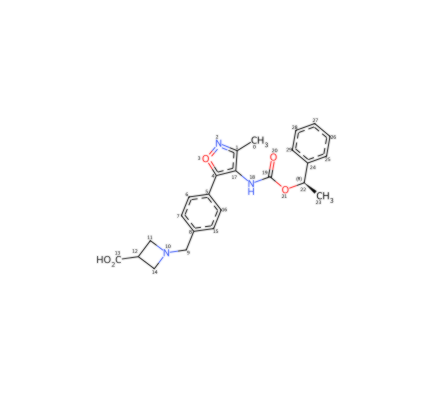 Cc1noc(-c2ccc(CN3CC(C(=O)O)C3)cc2)c1NC(=O)O[C@H](C)c1ccccc1